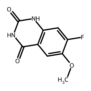 COc1cc2c(=O)[nH]c(=O)[nH]c2cc1F